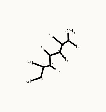 CC(I)C(I)C(I)C(I)C(I)C(I)CI